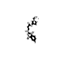 O=C(CCNc1n[n+]([O-])c2cc(F)ccc2[n+]1[O-])OC1=CN(CC(F)(F)F)CC1